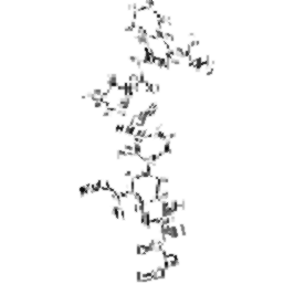 COC(=O)c1cc(-c2cccc(NC(=O)[C@@H]3C[C@@H](F)CN3C(=O)Cn3nc(C(N)=O)c4ccccc43)c2F)cc2[nH]c(NC(=O)OC(C)(C)C)nc12